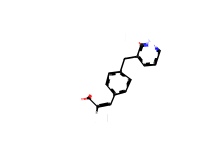 CC(=Cc1ccc(Cc2cccnc2O)cc1)C(=O)O